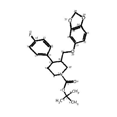 CC(C)(C)OC(=O)N1CCC(c2ccc(F)cc2)C(COc2ccc3c(c2)OCO3)C1